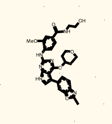 COc1cc(C(=O)NCCO)ccc1Nc1nc(OC2CCOCC2)c2c(-c3ccc4nc(C)oc4c3)c[nH]c2n1